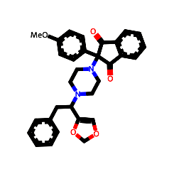 COc1ccc(C2(N3CCN(C(Cc4ccccc4)C4=COCO4)CC3)C(=O)c3ccccc3C2=O)cc1